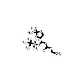 CCOC(=O)SC(O[Si](C)(C)C(C)(C)C)[C@H]1COC(C)(C)O1